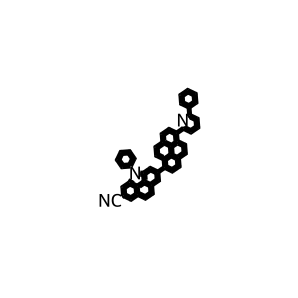 N#Cc1cc2ccc3cc(-c4ccc5ccc6c(-c7cccc(-c8ccccc8)n7)ccc7ccc4c5c76)cc4c3c2c(c1)n4-c1ccccc1